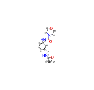 CNC(=O)NCc1cccc(NC(=O)N2CCOCC2)c1